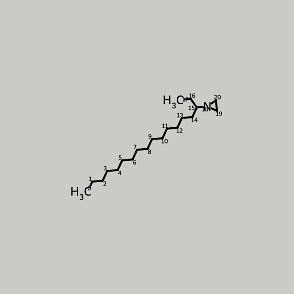 CCCCCCCCCCCCCCCC(CC)N1CC1